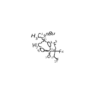 CCCC[Si](C)(C)OS(=O)(=O)C(F)(F)CF